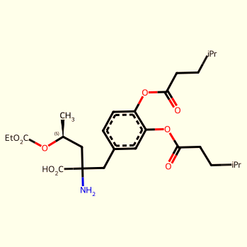 CCOC(=O)O[C@@H](C)CC(N)(Cc1ccc(OC(=O)CCC(C)C)c(OC(=O)CCC(C)C)c1)C(=O)O